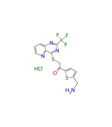 Cl.NCc1ccc(C(=O)CSc2nc(C(F)(F)F)nc3cccnc23)s1